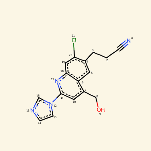 N#CCCc1cc2c(CO)cc(-n3ccnc3)nc2cc1Cl